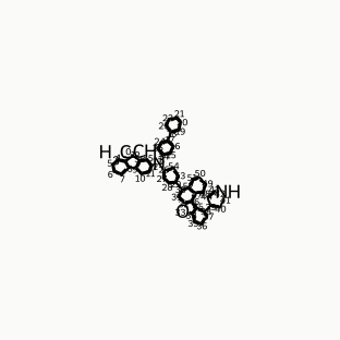 CC1(C)c2ccccc2-c2ccc(N(c3ccc(-c4ccccc4)cc3)c3ccc(-c4cc5oc6cccc(C7=CCNC=C7)c6c5c5ccccc45)cc3)cc21